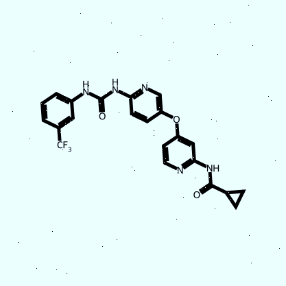 O=C(Nc1cccc(C(F)(F)F)c1)Nc1ccc(Oc2ccnc(NC(=O)C3CC3)c2)cn1